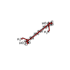 NC/C=C\C=CCCCCC(=O)N[C@@H](CCCCNC(=O)CCOCCOCCOCCNC(=O)CCC(=O)NCCOCCOCCOCCC(=O)NCCCC[C@H](NC(=O)CCCCC=C/C=C\CN)C(=O)NC(CC(=O)O)c1cc(Cl)cc(Cl)c1)C(=O)NC(CC(=O)O)c1cc(Cl)cc(Cl)c1